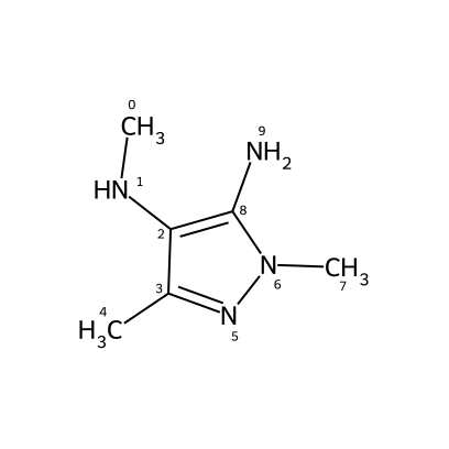 CNc1c(C)nn(C)c1N